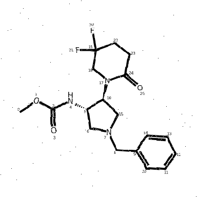 COC(=O)N[C@H]1CN(Cc2ccccc2)C[C@@H]1N1CC(F)(F)CCC1=O